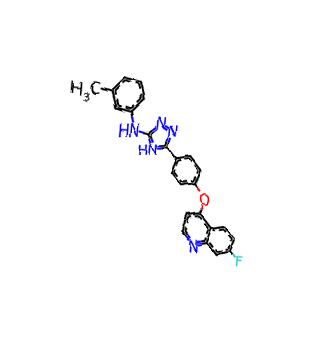 Cc1cccc(Nc2nnc(-c3ccc(Oc4ccnc5cc(F)ccc45)cc3)[nH]2)c1